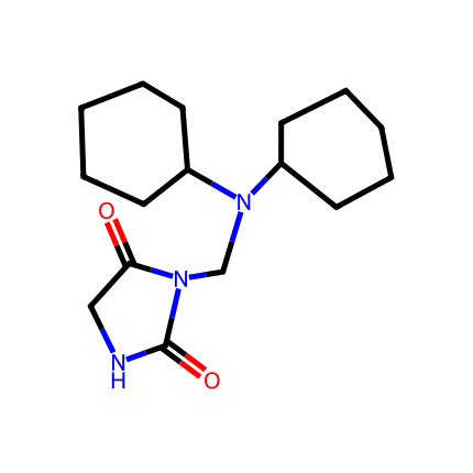 O=C1CNC(=O)N1CN(C1CCCCC1)C1CCCCC1